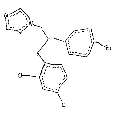 CCc1ccc(C(Cn2ccnc2)Sc2ccc(Cl)cc2Cl)cc1